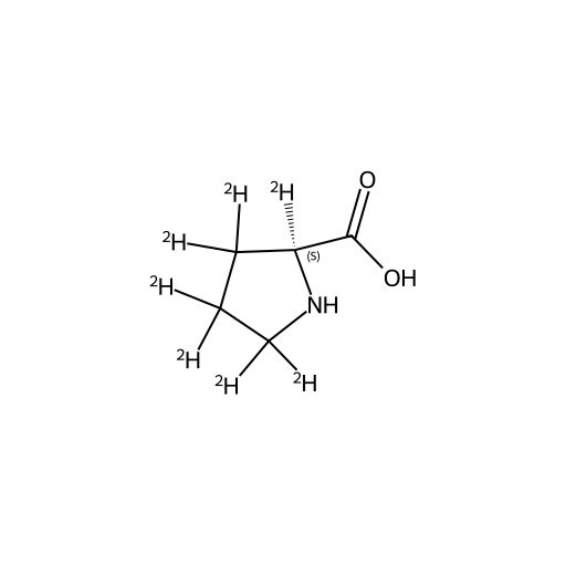 [2H]C1([2H])N[C@]([2H])(C(=O)O)C([2H])([2H])C1([2H])[2H]